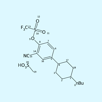 CCCCC1CCC(c2ccc(OS(=O)(=O)C(F)(F)F)c(C#N)c2)CC1.CS(=O)(=O)O